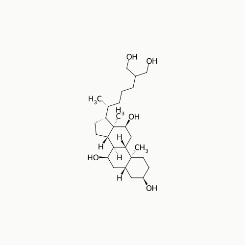 C[C@H](CCCC(CO)CO)[C@H]1CC[C@H]2[C@@H]3[C@H](O)C[C@H]4C[C@H](O)CC[C@]4(C)[C@H]3C[C@H](O)[C@]12C